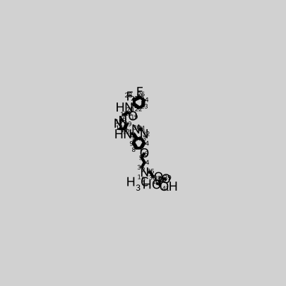 CCN(CCCOc1ccc2c(Nc3cnn(CC(=O)Nc4cccc(F)c4F)c3)ncnc2c1)CCOP(=O)(O)O